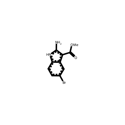 COC(=O)c1c(N)[nH]c2ccc(Br)cc12